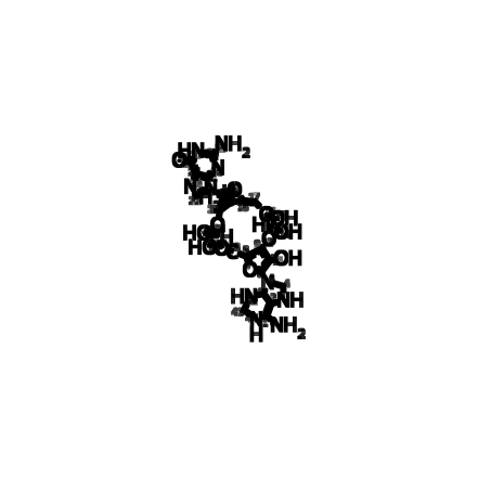 NC1=C2NCN(c3oc4c(c3O)O[PH](O)(O)O/C=C3/OC(n5cnc6c(=O)[nH]c(N)nc65)=C(O[PH](O)(O)OC4)[C@@H]3N)C2NCN1